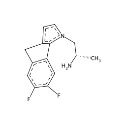 C[C@H](N)Cn1ccc2c1-c1cc(F)c(F)cc1C2